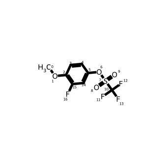 COc1ccc(OS(=O)(=O)C(F)(F)F)cc1F